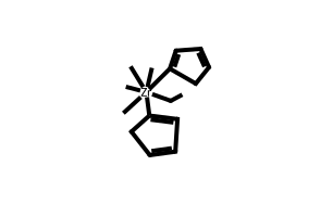 C[CH2][Zr]([CH3])([CH3])([CH3])([CH3])([C]1=CC=CC1)[C]1=CC=CC1